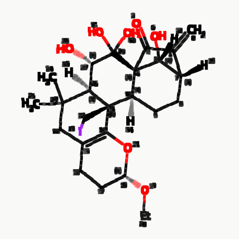 C=C1C(=O)[C@]23[C@H](O)[C@H]1CC[C@H]2[C@]1(CI)C2=C(CC[C@@H](OCC)O2)CC(C)(C)[C@H]1[C@H](O)C3(O)O